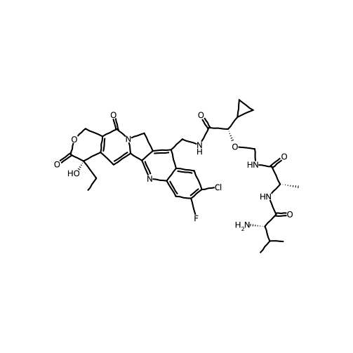 CC[C@@]1(O)C(=O)OCc2c1cc1n(c2=O)Cc2c-1nc1cc(F)c(Cl)cc1c2CNC(=O)[C@@H](OCNC(=O)[C@H](C)NC(=O)[C@@H](N)C(C)C)C1CC1